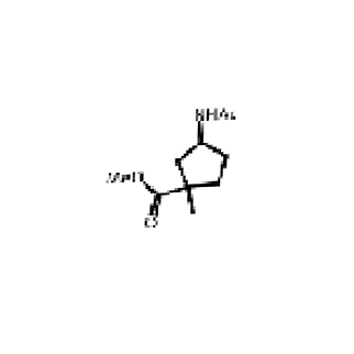 COC(=O)C1(C)CCC(NC(C)=O)C1